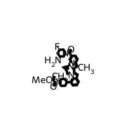 COC(C)C(=O)N1CCC(c2cccc3cc(-c4nn5cc(C(=O)N6C[C@H](N)C[C@@H](F)C6)ccc5c4C)n(CC4CC4)c23)CC1